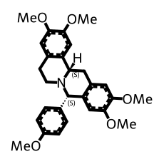 COc1ccc([C@H]2c3cc(OC)c(OC)cc3C[C@H]3c4cc(OC)c(OC)cc4CCN23)cc1